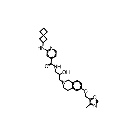 Cc1ncoc1COc1ccc2c(c1)CCN(CC(O)CNC(=O)c1ccnc(NC3CC4(CCC4)C3)c1)C2